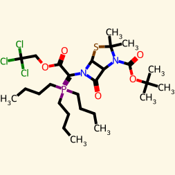 CCCCP(CCCC)(CCCC)=C(C(=O)OCC(Cl)(Cl)Cl)N1C(=O)C2C1SC(C)(C)N2C(=O)OC(C)(C)C